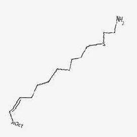 CCCCCCCC/C=C\CCCCCCCCSCCN